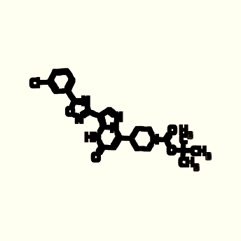 CC(C)(C)OC(=O)N1CCC(c2cc(=O)[nH]c3c(-c4noc(-c5cccc(Cl)c5)n4)cnn23)CC1